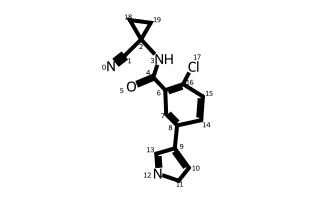 N#CC1(NC(=O)c2cc(C3=CCN=C3)ccc2Cl)CC1